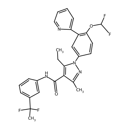 CCc1c(C(=O)Nc2cccc(C(C)(F)F)c2)c(C)nn1-c1ccc(OC(F)F)c(-c2ccccn2)c1